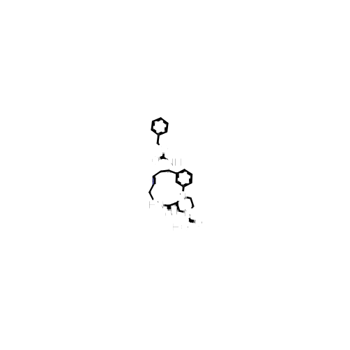 O=C(N[C@H]1C/C=C/CCNC(=O)[C@@H]2CN(C(=O)O)CCN2c2cccc1c2)OCc1ccccc1